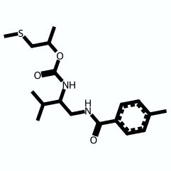 CSCC(C)OC(=O)NC(CNC(=O)c1ccc(C)cc1)C(C)C